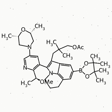 CO[C@@H](C)c1ncc(N2C[C@@H](C)O[C@@H](C)C2)cc1-c1c(CC(C)(C)COC(C)=O)c2cc(B3OC(C)(C)C(C)(C)O3)cc3c2n1CCC3